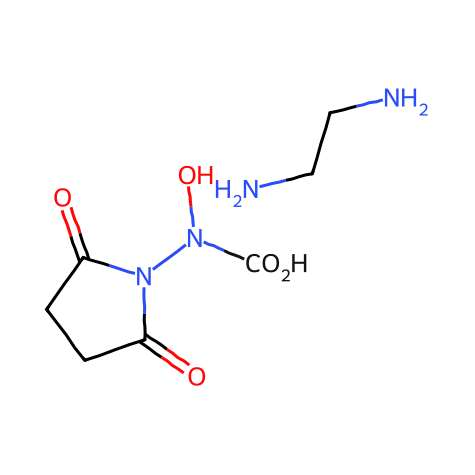 NCCN.O=C(O)N(O)N1C(=O)CCC1=O